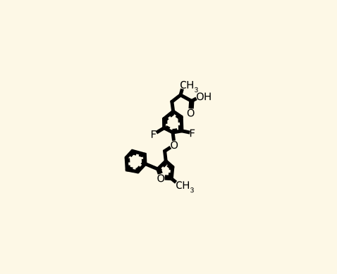 Cc1cc(COc2c(F)cc(CC(C)C(=O)O)cc2F)c(-c2ccccc2)o1